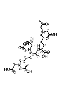 CC(=O)CN(CCCC[C@H](NC(=O)[C@H](CCCCN(CC(=O)O)CC(=O)O)N(CC(=O)O)CC(=O)O)C(=O)O)CC(=O)O